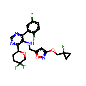 Fc1ccc(F)c(-c2ncnc(C3CCC(F)(F)CO3)c2NCc2cc(OCC3(F)CC3)no2)c1